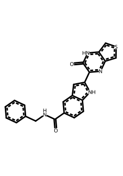 O=C(NCc1ccccc1)c1ccc2[nH]c(-c3nc4cscc4[nH]c3=O)cc2c1